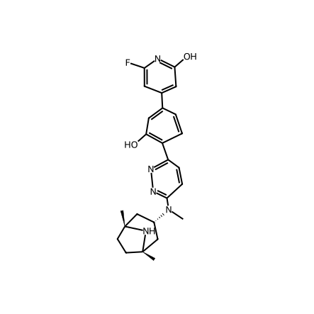 CN(c1ccc(-c2ccc(-c3cc(O)nc(F)c3)cc2O)nn1)[C@@H]1C[C@]2(C)CC[C@](C)(C1)N2